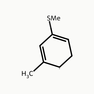 CSC1=CC[CH]C(C)=C1